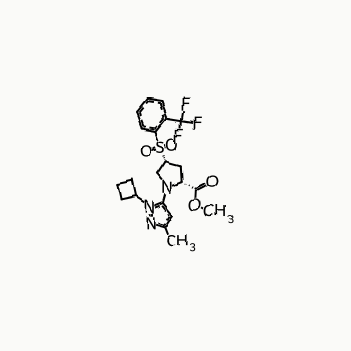 COC(=O)[C@H]1C[C@@H](S(=O)(=O)c2ccccc2C(F)(F)F)CN1c1cc(C)nn1C1CCC1